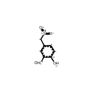 O=Cc1cc(C[SH](=O)=O)ccc1O